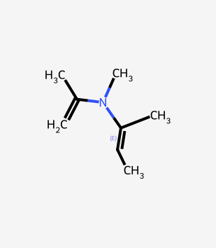 C=C(C)N(C)/C(C)=C/C